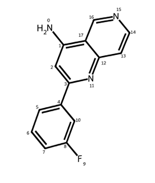 Nc1cc(-c2cccc(F)c2)nc2ccncc12